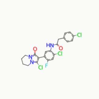 O=C(Cc1ccc(Cl)cc1)Nc1cc(-c2c(Cl)n3n(c2=O)CCCC3)c(F)cc1Cl